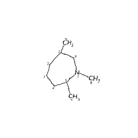 CC1CCCC(C)N(C)C1